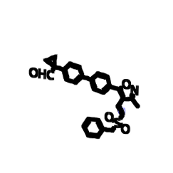 Cc1noc(-c2ccc(-c3ccc(C4(C=O)CC4)cc3)cc2)c1/C=C/S(=O)(=O)Cc1ccccc1